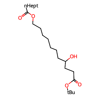 CCCCCCCC(=O)OCCCCCCCC(O)CCC(=O)OC(C)(C)C